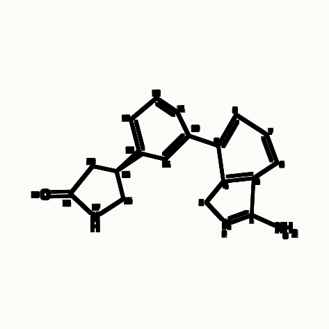 NC1=NCc2c1cccc2-c1cccc([C@H]2CNC(=O)C2)c1